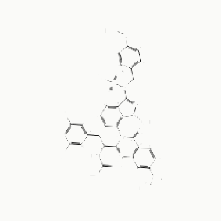 COc1ccc(CN(c2nn(C)c3c(-n4c(C(Cc5cc(F)cc(F)c5)NC(=O)O)nc5cc(OC)ccc5c4=O)cccc23)S(C)(=O)=O)cc1